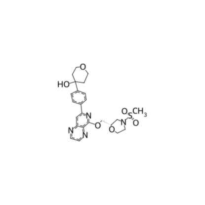 CS(=O)(=O)N1CCO[C@H](COc2nc(-c3ccc(C4(O)CCOCC4)cc3)cc3nccnc23)C1